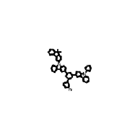 CC1(C)c2ccccc2-c2cc(-n3c4ccccc4c4cc(-c5cc(-c6cccc(Br)c6)cc(-c6ccc7c(c6)c6ccccc6n7-c6ccccc6)c5)ccc43)ccc21